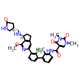 COc1nc(-c2cccc(-c3cccc(NC(=O)c4cn(C)c(=O)n(C)c4=O)c3C)c2Cl)cc2c1[C@@H](NC[C@@H]1CNC(=O)C1)CC2